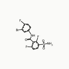 NS(=O)(=O)c1ccc(F)c(C(=O)Nc2ccc(F)c(Br)c2)c1F